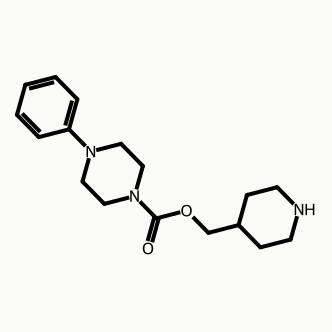 O=C(OCC1CCNCC1)N1CCN(c2ccccc2)CC1